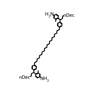 CCCCCCCCCCCCC(c1ccc(CCCCCCCCCCCCCCCCCCCCc2ccc(C(CCCCCCCCCCCC)c3ccc(N)cc3C)cc2)cc1)c1ccc(N)cc1C